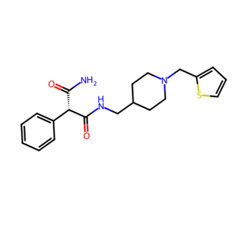 NC(=O)[C@H](C(=O)NCC1CCN(Cc2cccs2)CC1)c1ccccc1